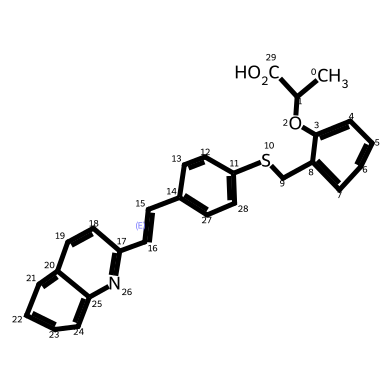 CC(Oc1ccccc1CSc1ccc(/C=C/c2ccc3ccccc3n2)cc1)C(=O)O